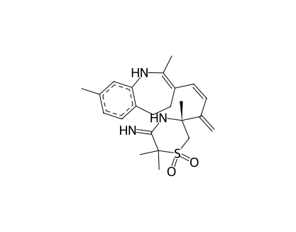 C=C(/C=C\C1=C(C)Nc2cc(C)ccc2CC1)[C@]1(C)CS(=O)(=O)C(C)(C)C(=N)N1